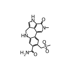 Cn1cc2c3c(c[nH]c3c1=O)CNc1cc(C(N)=O)c(CS(C)(=O)=O)cc1-2